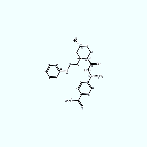 COC(=O)c1ccc([C@H](C)NC(=O)[C@@H]2CC[C@@H](O)CN2CCOc2ccccc2)cc1